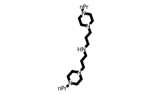 CCCN1CCN(CCCNCCCN2CCN(CCC)CC2)CC1